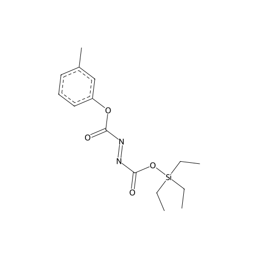 CC[Si](CC)(CC)OC(=O)N=NC(=O)Oc1cccc(C)c1